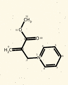 C=C(C[n+]1ccccc1)C(=O)OC